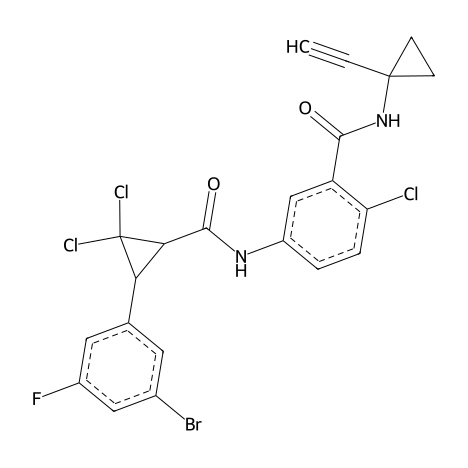 C#CC1(NC(=O)c2cc(NC(=O)C3C(c4cc(F)cc(Br)c4)C3(Cl)Cl)ccc2Cl)CC1